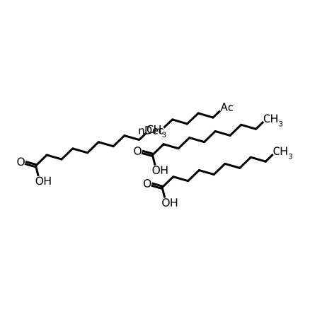 CCCCCCCCCC(=O)O.CCCCCCCCCC(=O)O.CCCCCCCCCC(=O)O.CCCCCCCCCCCCCCC(C)=O